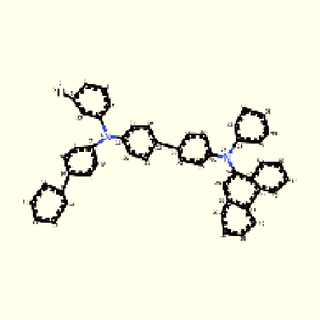 [3H]c1cccc(N(c2ccc(-c3ccccc3)cc2)c2ccc(-c3ccc(N(c4ccccc4)c4cc5ccccc5c5ccccc45)cc3)cc2)c1